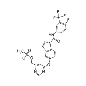 CS(=O)(=O)OCc1cc(Oc2ccc3c(ccn3C(=O)Nc3ccc(F)c(C(F)(F)F)c3)c2)ncn1